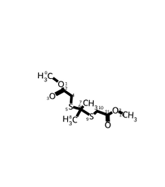 COC(=O)CSC(C)(C)SCC(=O)OC